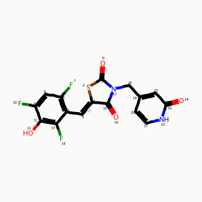 O=C1S/C(=C\c2c(F)cc(F)c(O)c2F)C(=O)N1Cc1cc[nH]c(=O)c1